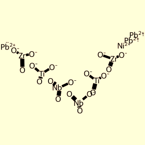 [Ni+2].[O]=[Nb](=[O])[O-].[O]=[Nb](=[O])[O-].[O]=[Ti]([O-])[O-].[O]=[Ti]([O-])[O-].[O]=[Zr]([O-])[O-].[O]=[Zr]([O-])[O-].[Pb+2].[Pb+2].[Pb+2]